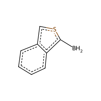 Bc1scc2ccccc12